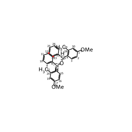 COc1ccc([SiH](O[SiH](c2ccccc2)c2ccc(OC)cc2C)c2ccccc2)c(C)c1